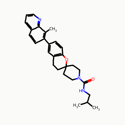 Cc1c(-c2ccc3c(c2)CCC2(CCN(C(=O)NCC(C)C)CC2)O3)ccc2cccnc12